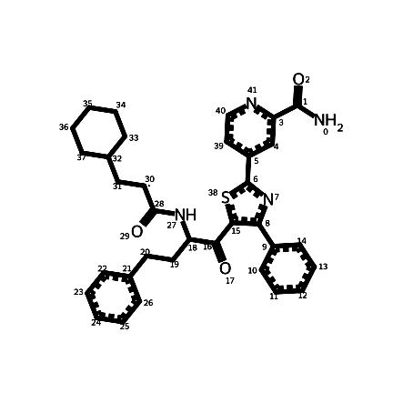 NC(=O)c1cc(-c2nc(-c3ccccc3)c(C(=O)C(CCc3ccccc3)NC(=O)[CH]CC3CCCCC3)s2)ccn1